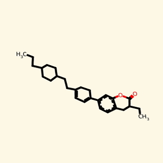 CCCC1CCC(CCC2=CC=C(c3ccc4c(c3)OC(=O)C(CC)C4)CC2)CC1